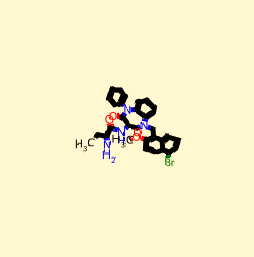 CCC(N)C(=O)NC1C(=O)N(Cc2c(OC)ccc3c(Br)cccc23)c2ccccc2N(c2ccccc2)C1=O